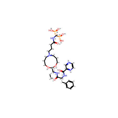 CC(C)C[C@@H](NC(=O)[C@@H](Cc1ccccc1)NC(=O)c1cnccn1)B1OCCCN(CCCC(=O)NC([PH](=O)O)[PH](=O)O)CCCO1